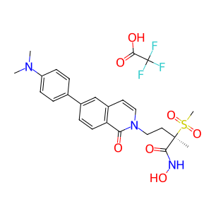 CN(C)c1ccc(-c2ccc3c(=O)n(CC[C@](C)(C(=O)NO)S(C)(=O)=O)ccc3c2)cc1.O=C(O)C(F)(F)F